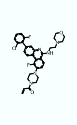 C=CC(=O)N1CCN(c2ccc3c(NCCN4CCOCC4)nc4cc(-c5c(F)cccc5Cl)ccc4c3c2F)CC1